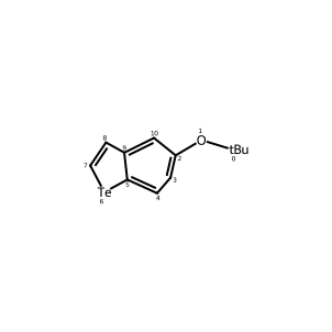 CC(C)(C)Oc1ccc2[te]ccc2c1